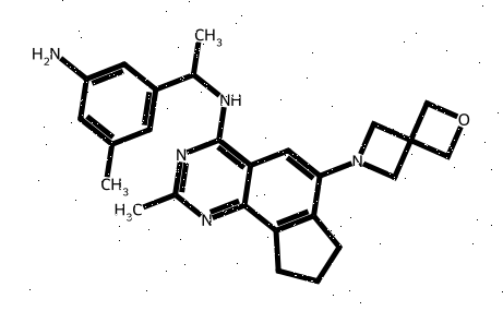 Cc1cc(N)cc(C(C)Nc2nc(C)nc3c4c(c(N5CC6(COC6)C5)cc23)CCC4)c1